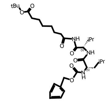 CC(C)C[C@H](NC(=O)OCc1ccccc1)C(=O)N[C@H](C(=O)NC(=O)CCCCCCC(=O)OC(C)(C)C)C(C)C